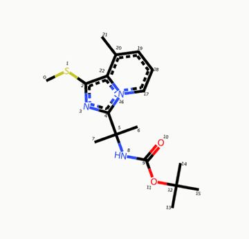 CSc1nc(C(C)(C)NC(=O)OC(C)(C)C)n2cccc(C)c12